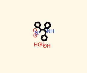 O=[N+]([O-])CC(c1ccccc1)c1c(-c2ccc(B(O)O)cc2)[nH]c2ccccc12